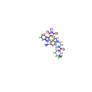 N#Cc1cc2c3c(c1)c(C1=C(c4cnc5ccccn45)C(=O)NC1=O)cn3CCN(C(=O)N1CCCC(F)(F)C1)C2